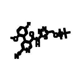 COc1ccc(F)cc1-c1cc(C#N)ncc1C(=O)Nc1nnc(CO[Si](C)(C)C(C)(C)C)s1